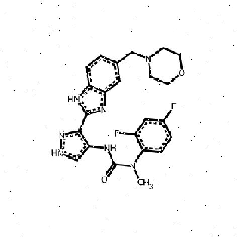 CN(C(=O)Nc1c[nH]nc1-c1nc2cc(CN3CCOCC3)ccc2[nH]1)c1ccc(F)cc1F